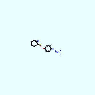 CCCN(C)C=Nc1cc(C)c(Oc2snc3ccccc23)cc1C